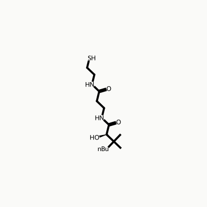 CCCCC(C)(C)[C@@H](O)C(=O)NCCC(=O)NCCS